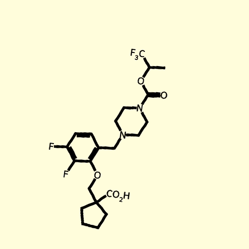 CC(OC(=O)N1CCN(Cc2ccc(F)c(F)c2OCC2(C(=O)O)CCCC2)CC1)C(F)(F)F